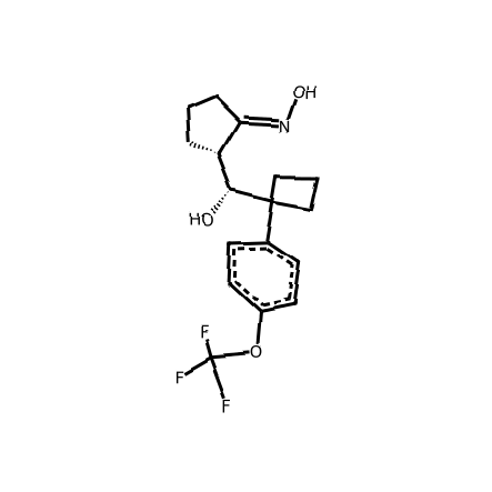 ON=C1CCC[C@H]1[C@@H](O)C1(c2ccc(OC(F)(F)F)cc2)CCC1